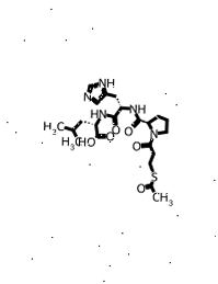 CC(=O)SCCC(=O)N1CCC[C@@H]1C(=O)N[C@@H](Cc1cnc[nH]1)C(=O)N[C@@H](CC(C)C)C(=O)O